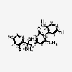 BC(B)(Oc1cc(C)n(-c2cc(Cl)ncc2C)c(=O)c1)c1ncc(F)cc1F